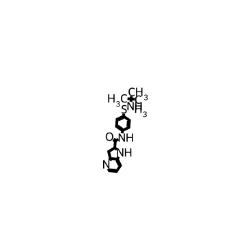 CC(C)(C)NSc1ccc(NC(=O)C2Cc3ncccc3N2)cc1